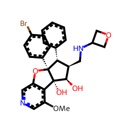 COc1cncc2c1[C@]1(O)[C@H](O)[C@H](CNC3COC3)[C@@H](c3ccccc3)[C@]1(c1ccc(Br)cc1)O2